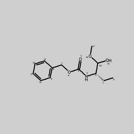 CC[C@H](NC(=O)OCc1ccccc1)C(O)OC